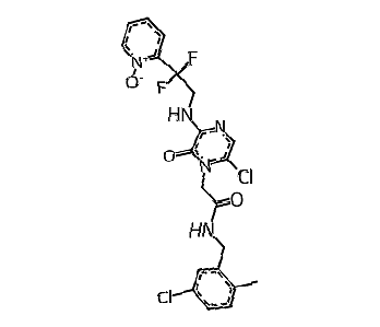 Cc1ccc(Cl)cc1CNC(=O)Cn1c(Cl)cnc(NCC(F)(F)c2cccc[n+]2[O-])c1=O